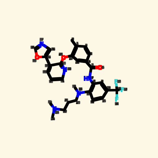 Cc1ccc(C(=O)Nc2cc(C(F)(F)F)ccc2N(C)CCCN(C)C)cc1Oc1ncccc1-c1cnco1